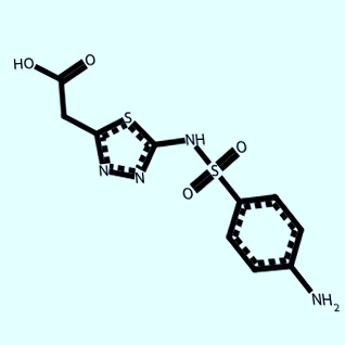 Nc1ccc(S(=O)(=O)Nc2nnc(CC(=O)O)s2)cc1